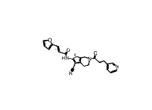 N#Cc1c(NC(=O)/C=C/c2ccco2)sc2c1CCN(C(=O)CCc1cccnc1)C2